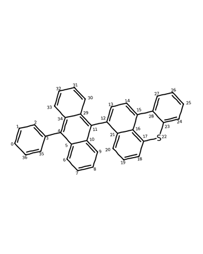 c1ccc(-c2c3ccccc3c(-c3ccc4c5c(cccc35)Sc3ccccc3-4)c3ccccc23)cc1